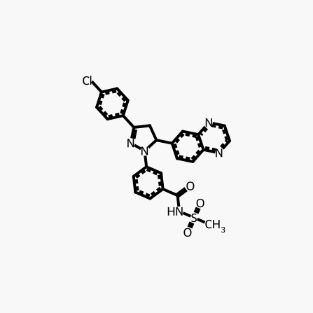 CS(=O)(=O)NC(=O)c1cccc(N2N=C(c3ccc(Cl)cc3)CC2c2ccc3nccnc3c2)c1